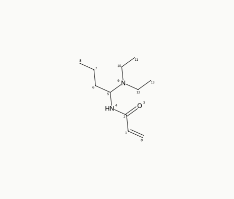 C=CC(=O)NC(CCC)N(CC)CC